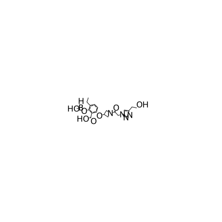 CCc1ccc(OC2CN(C(=O)Cn3cc(CCO)nn3)C2)c(C(=O)O)c1OBO